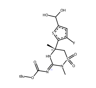 CN1/C(=N/C(=O)OC(C)(C)C)N[C@](C)(c2sc(C(O)O)cc2F)CS1(=O)=O